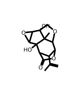 C=C(C)C1C2OC(=O)C1C1(O)C3OC3C3(O)COC2C31C